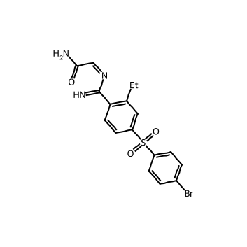 CCc1cc(S(=O)(=O)c2ccc(Br)cc2)ccc1C(=N)/N=C\C(N)=O